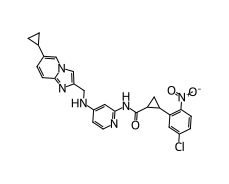 O=C(Nc1cc(NCc2cn3cc(C4CC4)ccc3n2)ccn1)C1CC1c1cc(Cl)ccc1[N+](=O)[O-]